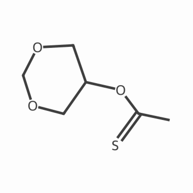 CC(=S)OC1COCOC1